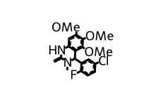 C=C1Nc2cc(OC)c(OC)c(OC)c2C(c2cc(Cl)ccc2F)N1C